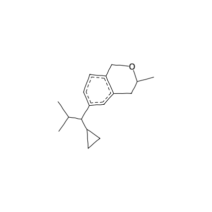 CC1Cc2cc(C(C(C)C)C3CC3)ccc2CO1